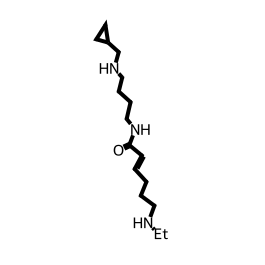 CCNCCC/C=C/C(=O)NCCCCNCC1CC1